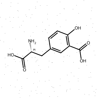 N[C@H](Cc1ccc(O)c(C(=O)O)c1)C(=O)O